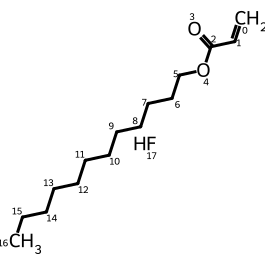 C=CC(=O)OCCCCCCCCCCCC.F